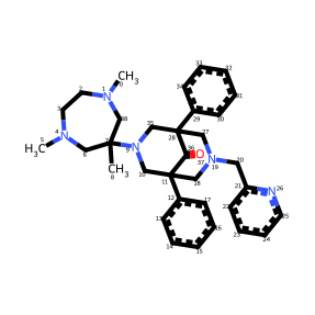 CN1CCN(C)CC(C)(N2CC3(c4ccccc4)CN(Cc4ccccn4)CC(c4ccccc4)(C2)C3=O)C1